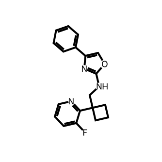 Fc1cccnc1C1(CNc2nc(-c3ccccc3)co2)CCC1